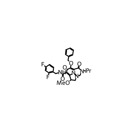 COC1CN2CN(C(C)C)C(=O)c3c(OCc4ccccc4)c(=O)c(C(=O)NCc4ccc(F)cc4F)c1n32